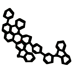 c1ccc(-c2ccccc2-c2ccccc2N(c2ccc(-c3ccc(-c4cccc(-n5c6ccccc6c6ccccc65)c4)cc3)cc2)c2ccccc2-c2ccc3c(c2)oc2ccccc23)cc1